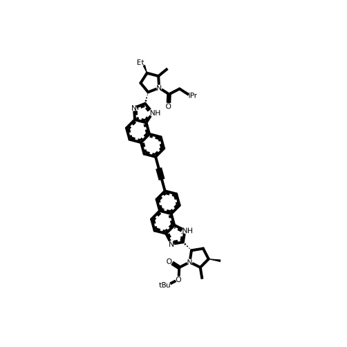 CC[C@@H]1C[C@@H](c2nc3ccc4cc(C#Cc5ccc6c(ccc7nc([C@@H]8C[C@@H](C)C(C)N8C(=O)OC(C)(C)C)[nH]c76)c5)ccc4c3[nH]2)N(C(=O)CC(C)C)C1C